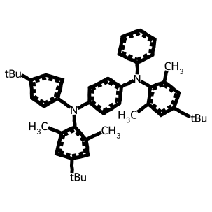 Cc1cc(C(C)(C)C)cc(C)c1N(c1ccccc1)c1ccc(N(c2ccc(C(C)(C)C)cc2)c2c(C)cc(C(C)(C)C)cc2C)cc1